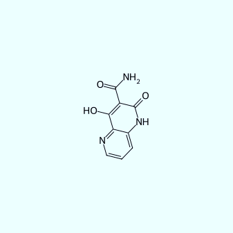 NC(=O)c1c(O)c2ncccc2[nH]c1=O